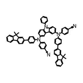 CC1(C)c2ccccc2-c2ccc(-c3ccc(N(c4ccc(C#N)cc4)c4ccc5c(c4)c4cc(N(c6ccc(C#N)cc6)c6ccc(-c7ccc8c(c7)C(C)(C)c7ccccc7-8)cc6)ccc4n5-c4ccccc4)cc3)cc21